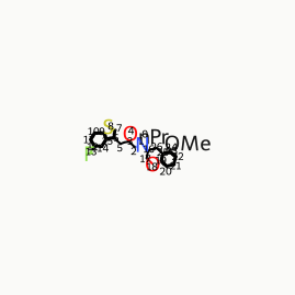 CCCN(CC(=O)Cc1csc2ccc(F)cc12)C1COc2cccc(OC)c2C1